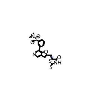 CN(C)S(=O)(=O)c1cccc(-c2cncc3cc(/C=C4\SC(=S)NC4=O)oc23)c1